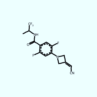 CC(NC(=O)c1cc(F)c(N2CC(=CC#N)C2)cc1F)C(F)(F)F